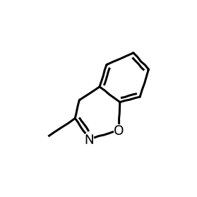 CC1=NOc2ccccc2C1